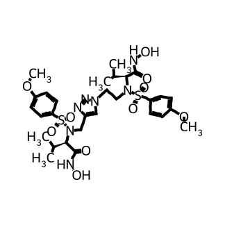 COc1ccc(S(=O)(=O)N(CCn2cc(CN([C@@H](C(=O)NO)C(C)C)S(=O)(=O)c3ccc(OC)cc3)nn2)[C@H](C(=O)NO)C(C)C)cc1